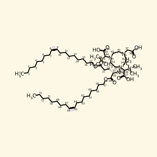 CCCCCCCC/C=C\CCCCCCCCOC(=O)CC[C@H](N[N+]1(C(C(=O)O)[N+](C)(C)C)CCN(CC(=O)O)CCN(C(C(=O)O)[N+](C)(C)C)CC1)C(=O)OCCCCCCCC/C=C\CCCCCCCC